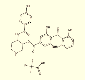 O=C(NC1CCNCC1OC(=O)c1cc(O)c(C(=O)c2c(O)cccc2C(=O)O)c(O)c1)c1ccc(O)cc1.O=C(O)C(F)(F)F